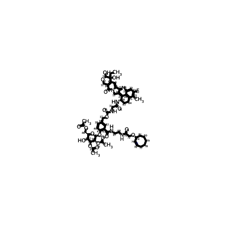 CC[C@]1(O)c2cc3n(c(=O)c2COC1O)Cc1c-3nc2cc(F)c(C)c3c2c1[C@@H](NC(=O)CNC(=O)OCc1ccc(O[C@@H]2O[C@H](COC(C)=O)[C@@H](O)[C@H](OC(C)=O)[C@H]2OC(C)=O)c(C(=O)NCCNC(=O)COC2/C=C\CCCCC2)c1)CC3